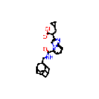 O=C(NCC12CC3CC4CC(C1)C4(C3)C2)c1cccc2nc(C(CC3CC3)C(=O)O)cn12